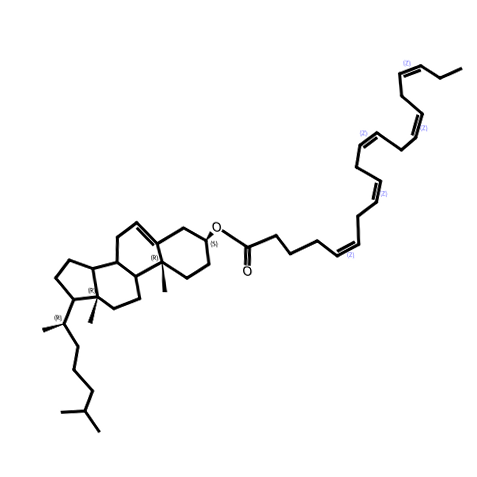 CC/C=C\C/C=C\C/C=C\C/C=C\C/C=C\CCCC(=O)O[C@H]1CC[C@@]2(C)C(=CCC3C4CCC([C@H](C)CCCC(C)C)[C@@]4(C)CCC32)C1